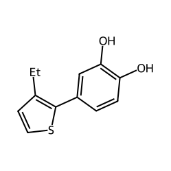 CCc1ccsc1-c1ccc(O)c(O)c1